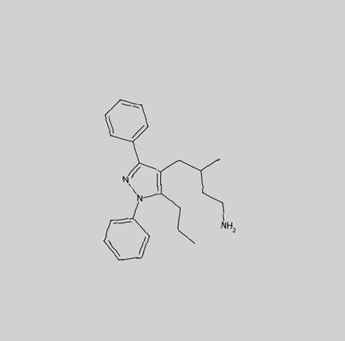 CCCc1c(CC(C)CCN)c(-c2ccccc2)nn1-c1ccccc1